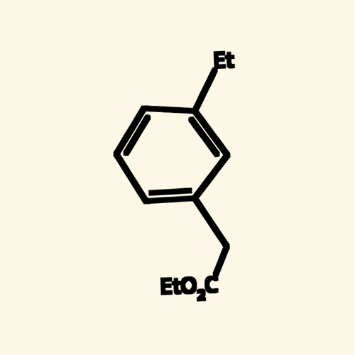 CCOC(=O)Cc1cccc(CC)c1